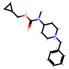 CN(C(=O)OCC1CC1)C1CCN(Cc2ccccc2)CC1